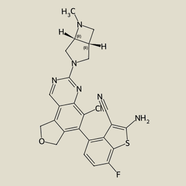 CN1C[C@@H]2CN(c3ncc4c5c(c(-c6ccc(F)c7sc(N)c(C#N)c67)c(Cl)c4n3)COC5)C[C@@H]21